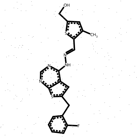 Cc1cc(CO)sc1/C=N/Nc1ncnc2sc(Cc3ccccc3F)cc12